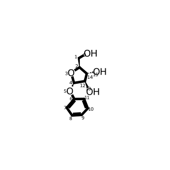 OC[C@@H]1O[C@@H](Oc2ccccc2)[C@H](O)[C@H]1O